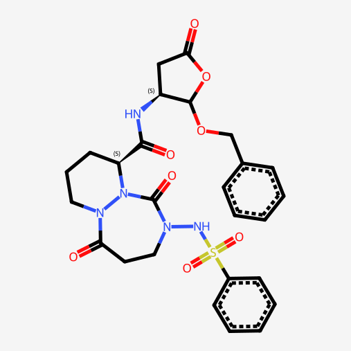 O=C1C[C@H](NC(=O)[C@@H]2CCCN3C(=O)CCN(NS(=O)(=O)c4ccccc4)C(=O)N23)C(OCc2ccccc2)O1